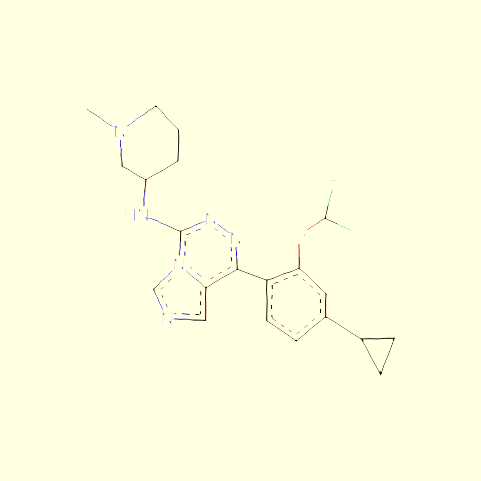 CN1CCCC(Nc2nnc(-c3ccc(C4CC4)cc3OC(F)F)c3cncn23)C1